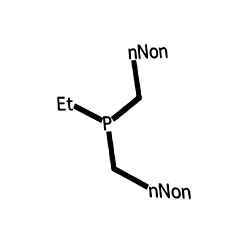 CCCCCCCCCCP(CC)CCCCCCCCCC